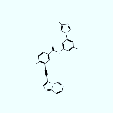 Cc1cn(-c2cc(NC(=O)c3ccc(C)c(C#Cc4cnc5ccncn45)c3)cc(C(F)(F)F)c2)cn1